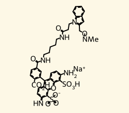 CNOCc1cc2ccccc2n1CCC(=O)NCCCCCNC(=O)c1ccc(C(=O)O)c(-c2c3ccc(=N)c(S(=O)(=O)[O-])c-3oc3c(S(=O)(=O)O)c(N)ccc23)c1.[Na+]